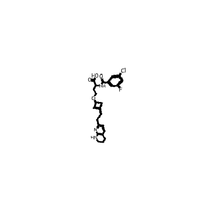 O=C(NC(CCOC1CC(CCc2ccc3c(n2)NCCC3)C1)C(=O)O)c1cc(F)cc(Cl)c1